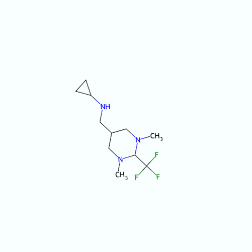 CN1CC(CNC2CC2)CN(C)C1C(F)(F)F